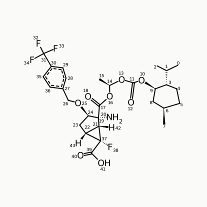 CC(C)[C@@H]1CC[C@@H](C)C[C@H]1OC(=O)O[C@H](C)OC(=O)[C@@]1(N)[C@H]2[C@@H](C[C@H]1OCc1ccc(C(F)(F)F)cc1)[C@]2(F)C(=O)O